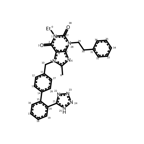 CCn1c(=O)c2c(nc(C)n2Cc2ccc(-c3ccccc3-c3nnn[nH]3)cc2)n(CCc2ccccc2)c1=O